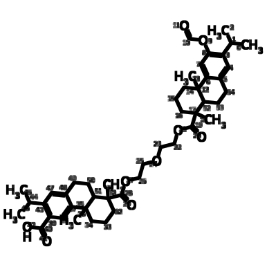 CC(C)c1cc2c(cc1OC=O)C1(C)CCCC(C)(C(=O)OCCOCCOC(=O)C3(C)CCCC4(C)c5cc(C(=O)O)c(C(C)C)cc5CCC34)C1CC2